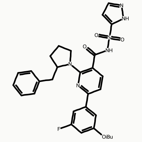 CC(C)COc1cc(F)cc(-c2ccc(C(=O)NS(=O)(=O)c3ccn[nH]3)c(N3CCCC3Cc3ccccc3)n2)c1